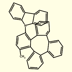 Cc1ccc(-n2c3ccccc3c3ccccc32)c2c1-c1ccccc1-c1ccccc1-c1ccccc1-2